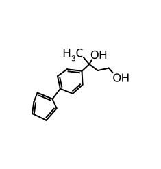 CC(O)(CCO)c1ccc(-c2ccccc2)cc1